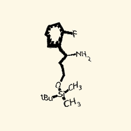 CC(C)(C)[Si](C)(C)OCC[C@H](N)c1ccccc1F